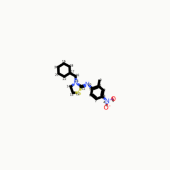 Cc1cc([N+](=O)[O-])ccc1/N=C1\SCCN1CC1CCCCC1